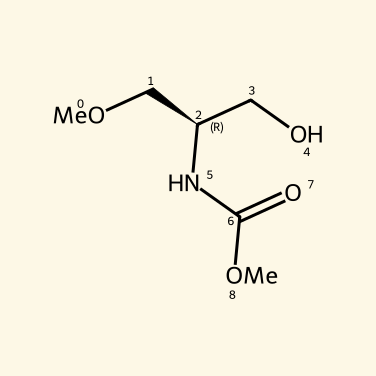 COC[C@@H](CO)NC(=O)OC